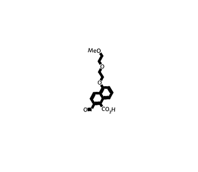 COCCOCCOc1cccc2c(C(=O)O)c(I=O)ccc12